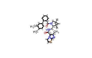 Cc1ccc(-c2ccccc2C(=O)N2C[C@@H]3C[C@@H]3[C@H]2CNC(=O)c2c(C)nc3sccn23)cc1C